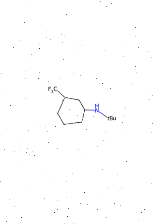 CC(C)(C)NC1CCCC(C(F)(F)F)C1